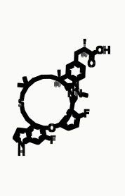 C[C@@H](Cc1cccc([C@@]2(C)CCCC(C)(C)CSCCc3c(c(F)cc4[nH]ccc34)Oc3ccc(F)c(c3)-c3nc2nn3C)c1)C(=O)O